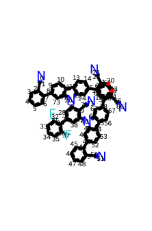 N#Cc1ccccc1-c1ccc2c3ccc(-c4ccccc4C#N)cc3n(-c3cc(-c4c(F)cccc4F)cc(-n4c5cc(-c6ccccc6C#N)ccc5c5ccc(-c6ccccc6C#N)cc54)c3C#N)c2c1